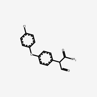 NC(=O)C(C=O)c1ccc(Oc2ccc(Cl)cc2)cc1